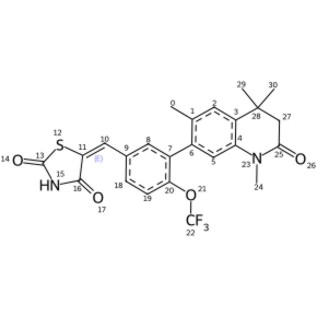 Cc1cc2c(cc1-c1cc(/C=C3/SC(=O)NC3=O)ccc1OC(F)(F)F)N(C)C(=O)CC2(C)C